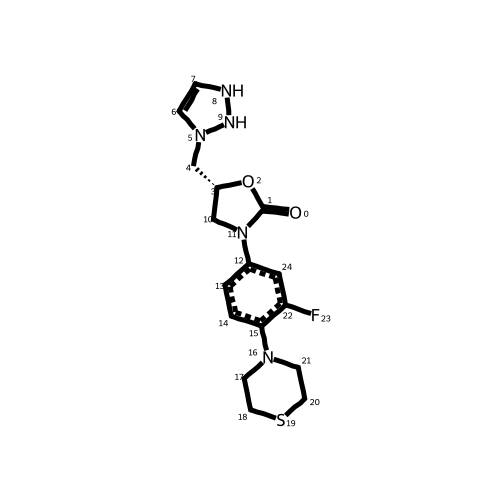 O=C1O[C@@H](CN2C=CNN2)CN1c1ccc(N2CCSCC2)c(F)c1